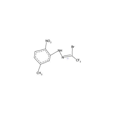 Cc1ccc([N+](=O)[O-])c(N/N=C(\Br)C(F)(F)F)c1